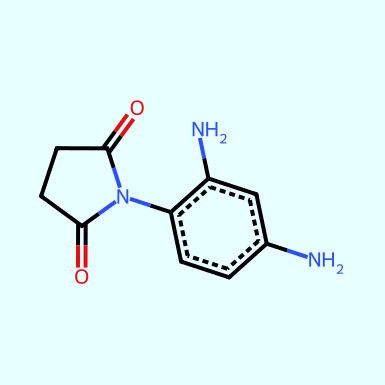 Nc1ccc(N2C(=O)CCC2=O)c(N)c1